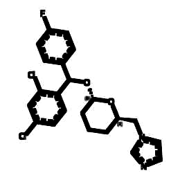 Fc1ccc(C(O[C@H]2CCC[C@H](Cn3ccnc3)O2)c2ccc(Cl)cc2Cl)cc1